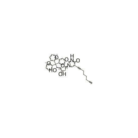 C#CCCCCC#Cc1cn([C@H]2C[C@H](O)[C@@H](C(O)C(c3ccccc3)(c3ccccc3OC)c3ccccc3OC)O2)c(=O)[nH]c1=O